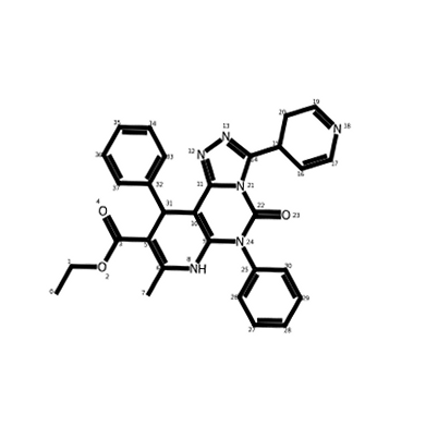 CCOC(=O)C1=C(C)Nc2c(c3nnc(C4C=CN=CC4)n3c(=O)n2-c2ccccc2)C1c1ccccc1